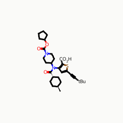 CC(C)(C)C#Cc1cc(N(C(=O)[C@H]2CC[C@H](C)CC2)C2CCN(C(=O)OC3CCCC3)CC2)c(C(=O)O)s1